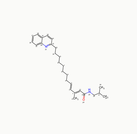 CC(C=CCCCCCCCCc1ccc2ccccc2n1)=CC(=O)NCC(C)C